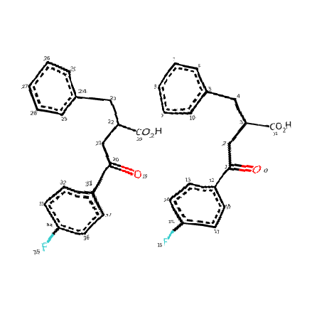 O=C(CC(Cc1ccccc1)C(=O)O)c1ccc(F)cc1.O=C(CC(Cc1ccccc1)C(=O)O)c1ccc(F)cc1